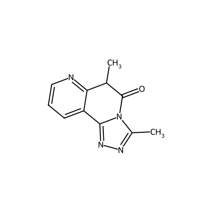 Cc1nnc2n1C(=O)C(C)c1ncccc1-2